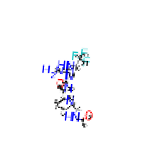 CC(=O)NCc1cccc(-c2coc(/N=C(\N)NCC(F)(F)F)n2)n1